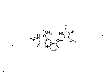 CNC(=O)c1nc2ccnc(OCC3NC(=O)C(F)C3C)c2cc1OC